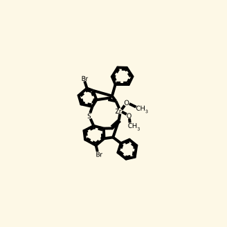 C[O][Zr]1([O]C)[C]2=Cc3c(ccc(Br)c3C2c2ccccc2)Sc2ccc(Br)c3c2C=[C]1C3c1ccccc1